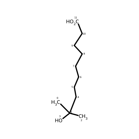 CC(C)(O)CCCCCCCC(=O)O